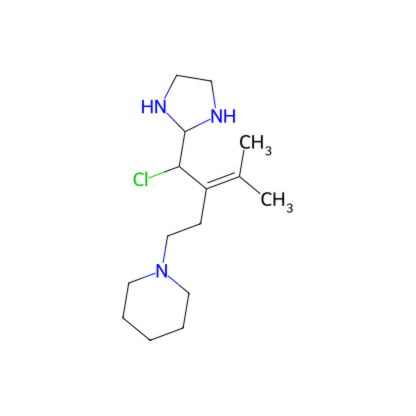 CC(C)=C(CCN1CCCCC1)C(Cl)C1NCCN1